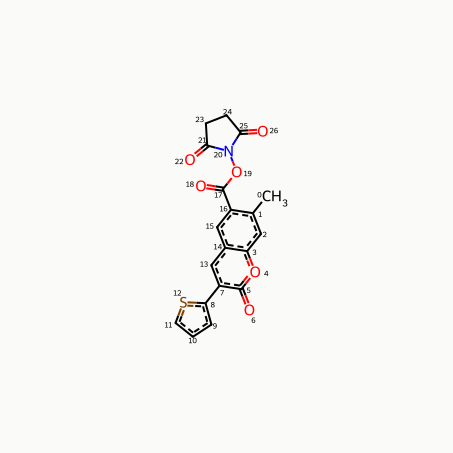 Cc1cc2oc(=O)c(-c3cccs3)cc2cc1C(=O)ON1C(=O)CCC1=O